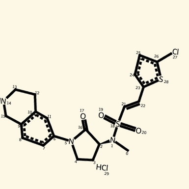 CN([C@H]1CCN(c2ccc3c(c2)CCNC3)C1=O)S(=O)(=O)/C=C/c1ccc(Cl)s1.Cl